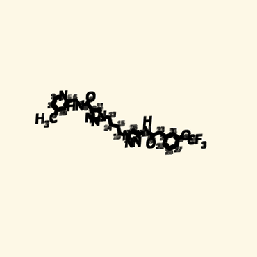 Cc1ccnc(CNC(=O)c2cn(CCCCn3cc(NC(=O)Cc4cccc(OC(F)(F)F)c4)nn3)nn2)c1